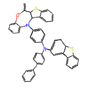 C=C1Oc2ccccc2N(c2ccc(N(C3=CCC4Sc5ccccc5C4=C3)c3ccc(-c4ccccc4)cc3)cc2)C2c3ccccc3SC12